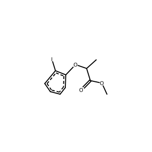 COC(=O)C(C)Oc1ccccc1I